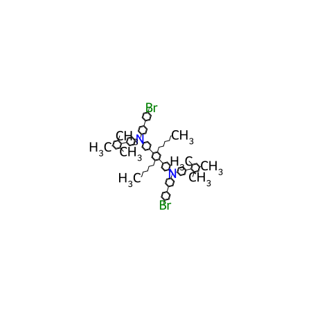 CCCCCCc1cc(-c2ccc(N(c3ccc(-c4ccc(Br)cc4)cc3)c3ccc(-c4c(C)cc(C)cc4C)cc3)cc2)c(CCCCCC)cc1-c1ccc(N(c2ccc(-c3ccc(Br)cc3)cc2)c2ccc(-c3c(C)cc(C)cc3C)cc2)cc1